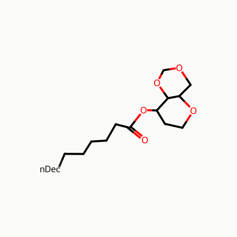 CCCCCCCCCCCCCCCC(=O)OC1CCOC2COCOC21